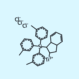 Cc1cccc([Si](c2cccc(C)c2)(c2cccc(C)c2)C2[CH]([Ti+3])CC3C=CC=CC32)c1.[Cl-].[Cl-].[Cl-]